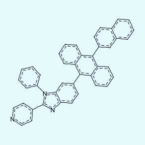 c1ccc(-n2c(-c3ccncc3)nc3ccc(-c4c5ccccc5c(-c5ccc6ccccc6c5)c5ccccc45)cc32)cc1